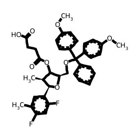 COc1ccc(C(OC[C@H]2O[C@@H](c3cc(C)c(F)cc3F)[C@@H](C)C2OC(=O)CCC(=O)O)(c2ccccc2)c2ccc(OC)cc2)cc1